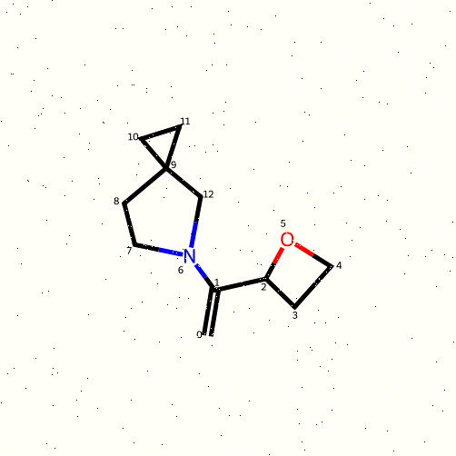 C=C(C1CCO1)N1CCC2(CC2)C1